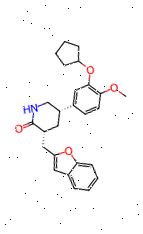 COc1ccc([C@H]2CNC(=O)[C@@H](Cc3cc4ccccc4o3)C2)cc1OC1CCCC1